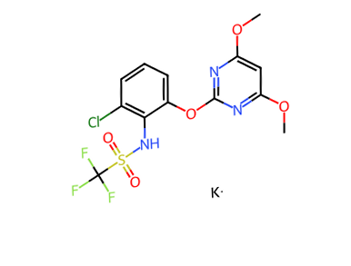 COc1cc(OC)nc(Oc2cccc(Cl)c2NS(=O)(=O)C(F)(F)F)n1.[K]